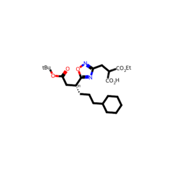 CCOC(=O)C(Cc1noc([C@H](CCCC2CCCCC2)CC(=O)OC(C)(C)C)n1)C(=O)O